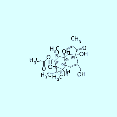 CC(=O)O[C@@H]1[C@@H](C)[C@]2(O)C3C=C(C)C(=O)[C@@]3(O)CC(CO)=C[C@H]2[C@@H]2C(C)(C)[C@]12O